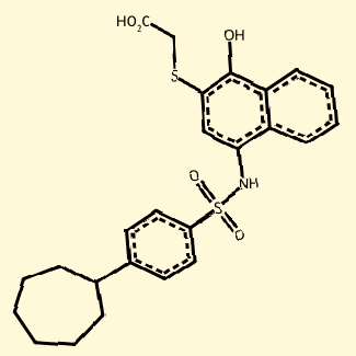 O=C(O)CSc1cc(NS(=O)(=O)c2ccc(C3CCCCCC3)cc2)c2ccccc2c1O